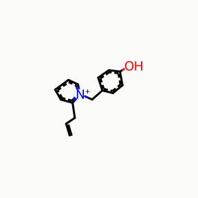 C=CCc1cccc[n+]1Cc1ccc(O)cc1